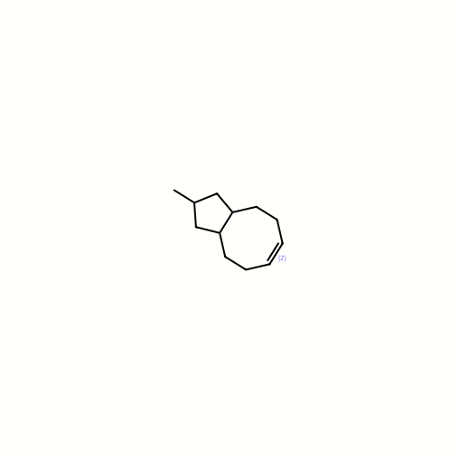 CC1CC2CC/C=C\CCC2C1